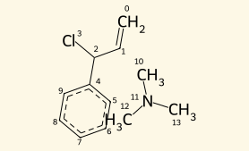 C=CC(Cl)c1ccccc1.CN(C)C